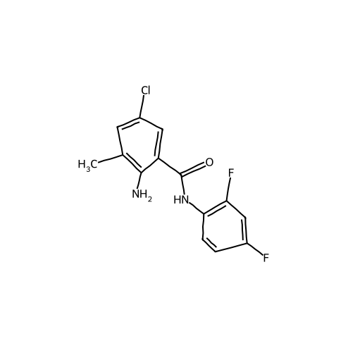 Cc1cc(Cl)cc(C(=O)Nc2ccc(F)cc2F)c1N